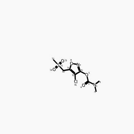 CN(C)C(=O)Oc1noc(CS(C)(=O)=O)c1Cl